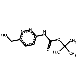 CC(C)(C)OC(=O)Nc1ccc(CO)nn1